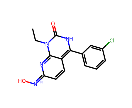 CCn1c2n/c(=N\O)ccc-2c(-c2cccc(Cl)c2)[nH]c1=O